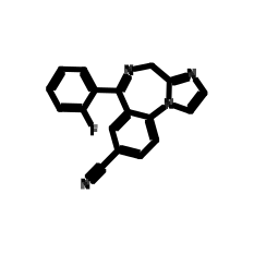 N#Cc1ccc2c(c1)C(c1ccccc1F)=NCc1nccn1-2